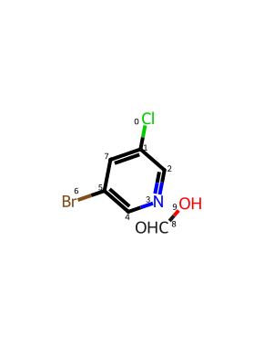 Clc1cncc(Br)c1.O=CO